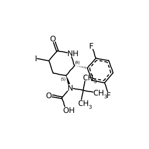 CC(C)(C)N(C(=O)O)[C@H]1CC(I)C(=O)N[C@@H]1c1cc(F)ccc1F